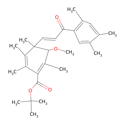 COC1C(C)=C(C(=O)OC(C)(C)C)C(C)=C(C)C1(C)C=CC(=O)c1cc(C)c(C)cc1C